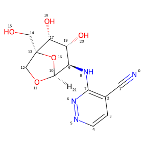 N#Cc1ccnnc1N[C@H]1[C@H]2OC[C@](CO)(O2)[C@H](O)[C@@H]1O